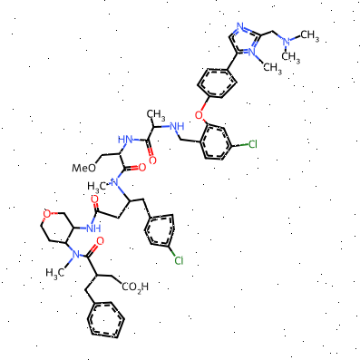 COCC(NC(=O)C(C)NCc1ccc(Cl)cc1Oc1ccc(-c2cnc(CN(C)C)n2C)cc1)C(=O)N(C)C(CC(=O)NC1COCCC1N(C)C(=O)C(CC(=O)O)Cc1ccccc1)Cc1ccc(Cl)cc1